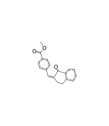 COC(=O)c1ccc(C=C2CCc3ccccc3C2=O)cc1